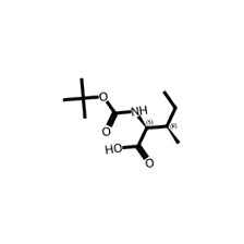 CC[C@@H](C)[C@H](NC(=O)OC(C)(C)C)C(=O)O